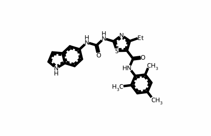 CCc1nc(NC(=O)Nc2ccc3[nH]ccc3c2)sc1C(=O)Nc1c(C)cc(C)cc1C